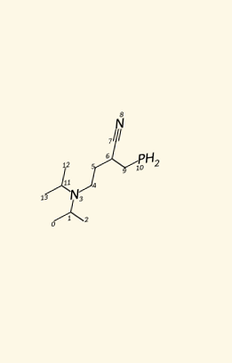 CC(C)N(CCC(C#N)CP)C(C)C